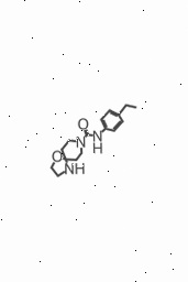 CCc1ccc(NC(=O)N2CCC3(CC2)NCCO3)cc1